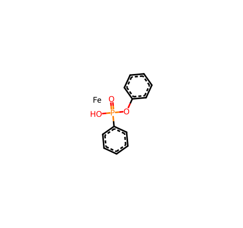 O=P(O)(Oc1ccccc1)c1ccccc1.[Fe]